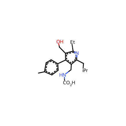 CCc1nc(CC(C)C)c(CNC(=O)O)c(-c2ccc(C)cc2)c1CO